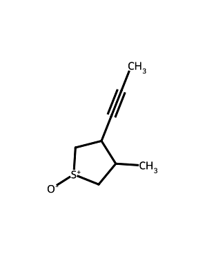 CC#CC1C[S+]([O-])CC1C